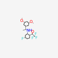 COc1cc(OC)cc(C(C)Nc2cc(F)ccc2C(=O)C(F)(F)F)c1